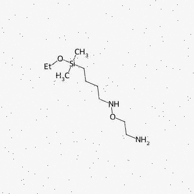 CCO[Si](C)(C)CCCCNOCCN